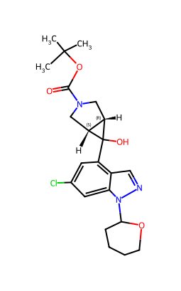 CC(C)(C)OC(=O)N1C[C@@H]2[C@H](C1)C2(O)c1cc(Cl)cc2c1cnn2C1CCCCO1